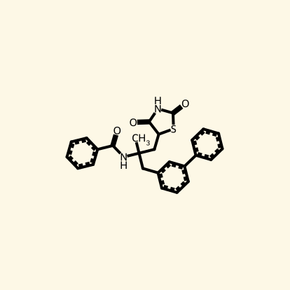 CC(Cc1cccc(-c2ccccc2)c1)(CC1SC(=O)NC1=O)NC(=O)c1ccccc1